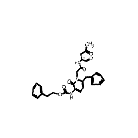 CC(=O)C[C@@H](C=O)NC(=O)Cn1c(Cc2ccccc2)ccc(NC(=O)OCCc2ccccc2)c1=O